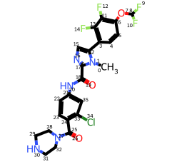 Cn1c(-c2ccc(OC(F)F)c(F)c2F)cnc1C(=O)Nc1ccc(C(=O)N2CCNCC2)c(Cl)c1